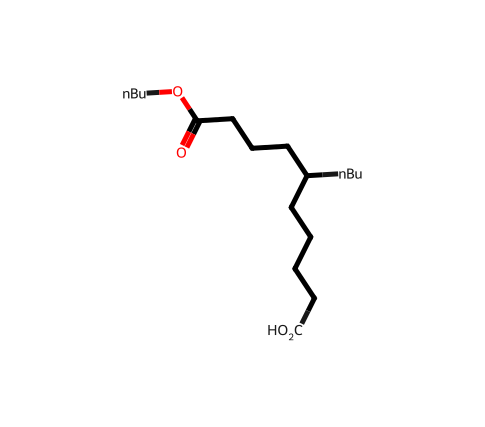 CCCCOC(=O)CCCC(CCCC)CCCCC(=O)O